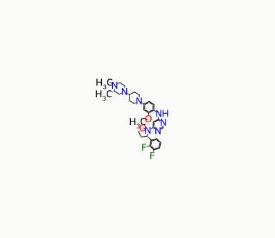 COc1cc(N2CCC(N3CCN(C)[C@@H](C)C3)CC2)ccc1Nc1cc(N2OCC[C@@H]2c2cccc(F)c2F)ncn1